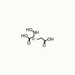 O=C(O)CC[C@@H](NO)C(=O)O